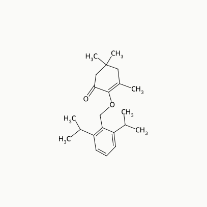 CC1=C(OCc2c(C(C)C)cccc2C(C)C)C(=O)CC(C)(C)C1